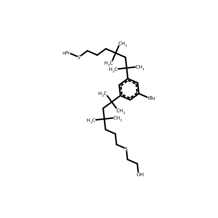 CCCSCCCC(C)(C)CC(C)(C)c1cc(C(C)(C)C)cc(C(C)(C)CC(C)(C)CCCSCCO)c1